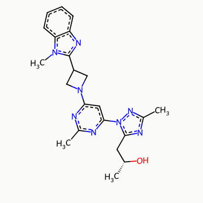 Cc1nc(N2CC(c3nc4ccccc4n3C)C2)cc(-n2nc(C)nc2C[C@@H](C)O)n1